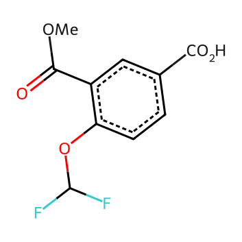 COC(=O)c1cc(C(=O)O)ccc1OC(F)F